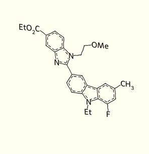 CCOC(=O)c1ccc2c(c1)nc(-c1ccc3c(c1)c1cc(C)cc(F)c1n3CC)n2CCOC